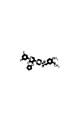 COc1cc(CS(=O)(=O)N2CCN(c3cnn(-c4cc(F)cc(F)c4)c(=O)c3OC3CCCC3)CC2)ccc1N